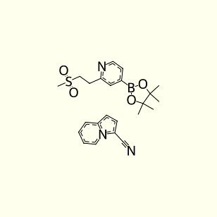 CC1(C)OB(c2ccnc(CCS(C)(=O)=O)c2)OC1(C)C.N#Cc1ccc2ccccn12